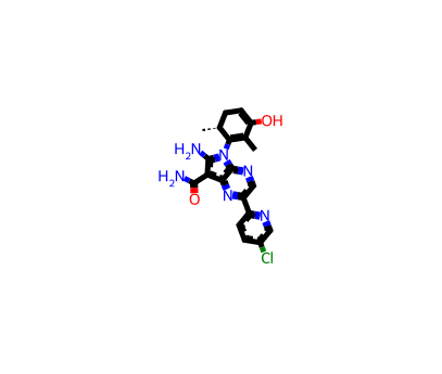 CC1=C(n2c(N)c(C(N)=O)c3nc(-c4ccc(Cl)cn4)cnc32)[C@H](C)CC=C1O